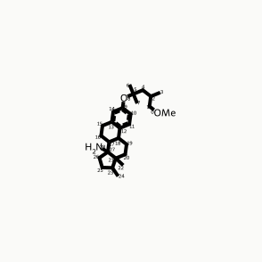 COCC(C)CC(C)(C)Oc1ccc2c(c1)CCC1C2CCC2(C)C(C)CCC12N